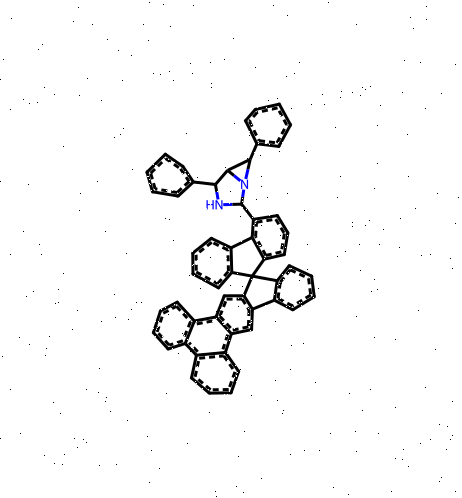 c1ccc(C2NC(c3cccc4c3-c3ccccc3C43c4ccccc4-c4cc5c6ccccc6c6ccccc6c5cc43)N3C(c4ccccc4)C23)cc1